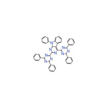 c1ccc(-c2nc(-c3ccccc3)nc(-c3nc(-c4nc(-c5ccccc5)nc(-c5ccccc5)n4)c4c5ccccc5n(-c5ccccc5)c4n3)n2)cc1